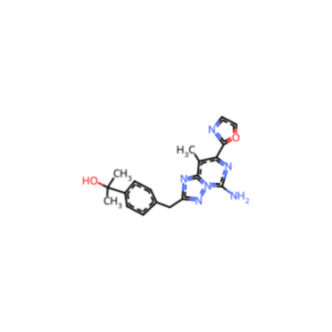 Cc1c(-c2ncco2)nc(N)n2nc(Cc3ccc(C(C)(C)O)cc3)nc12